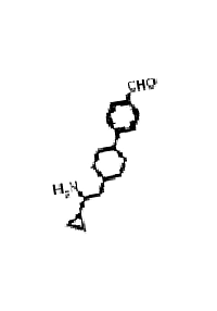 NC(CC1CCC(c2ccc(C=O)cc2)CC1)C1CC1